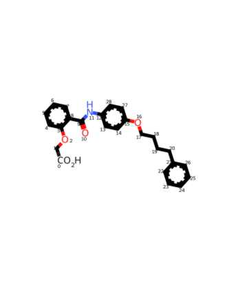 O=C(O)COc1ccccc1C(=O)Nc1ccc(OCCCCc2ccccc2)cc1